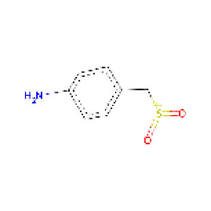 Nc1ccc(C[SH](=O)=O)cc1